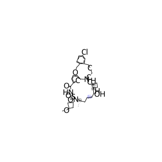 COC1CC(N2[C@@H](C)C/C=C/C(O)[C@@H]3CC[C@H]3CN3CCCCc4cc(Cl)ccc4COc4ccc(cc43)C(=O)NS2(=O)=O)C1